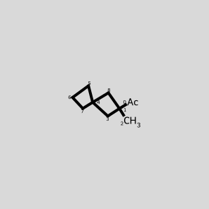 CC(=O)C1(C)CC2(CCC2)C1